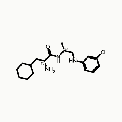 C[C@@H](CNc1cccc(Cl)c1)NC(=O)[C@@H](N)CC1CCCCC1